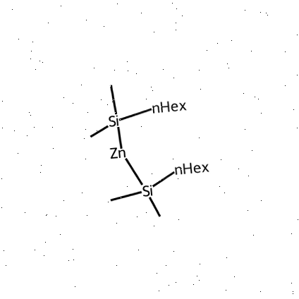 CCCCCC[Si](C)(C)[Zn][Si](C)(C)CCCCCC